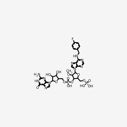 COC1C(OP(=O)(O)OCC2OC(n3cnc4c(=O)[nH]c(N)nc43)C(O)C2O)C(COP(=O)(O)O)OC1n1cnc2c(NCc3ccc(F)cc3)ncnc21